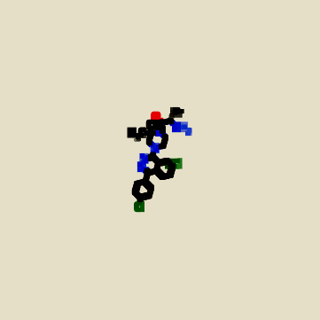 CC(C)[C@H](N)C(=O)N1CCN(c2nnc(-c3ccc(Cl)cc3)c3ccccc23)CC1(C)C.Cl